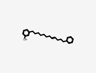 Oc1cccc(CCCCCCC/C=C/CCCc2ccccc2)c1